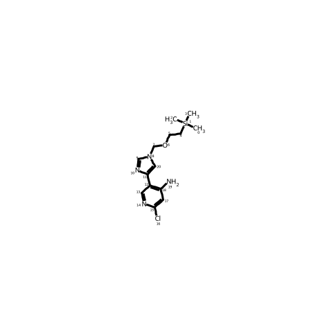 C[Si](C)(C)CCOCn1cnc(-c2cnc(Cl)cc2N)c1